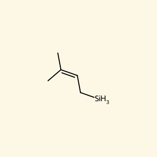 CC(C)=CC[SiH3]